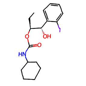 CC[C@H](OC(=O)NC1CCCCC1)[C@@H](O)c1ccccc1I